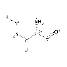 CCSC(C)[C@H](N)[C]=O